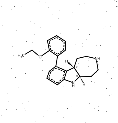 CCOc1ccccc1-c1cccc2c1[C@@H]1CCNCC[C@H]1N2